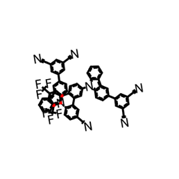 N#Cc1cc(C#N)cc(-c2ccc3c(c2)c2ccccc2n3-c2ccc(-c3cc(C(F)(F)F)cc(C(F)(F)F)c3)c(-c3cc(C#N)ccc3-n3c4ccccc4c4cc(-c5cc(C#N)cc(C#N)c5)ccc43)c2)c1